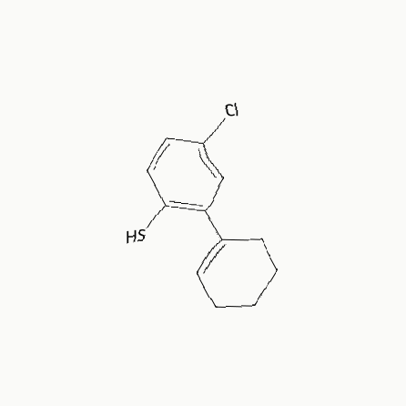 Sc1ccc(Cl)cc1C1=CCCCC1